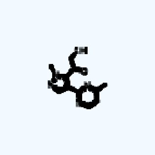 Cc1ccnc(-c2cnn(C)c2C(=O)CO)n1